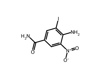 NC(=O)c1cc(I)c(N)c([N+](=O)[O-])c1